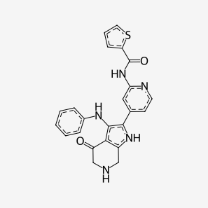 O=C(Nc1cc(-c2[nH]c3c(c2Nc2ccccc2)C(=O)CNC3)ccn1)c1cccs1